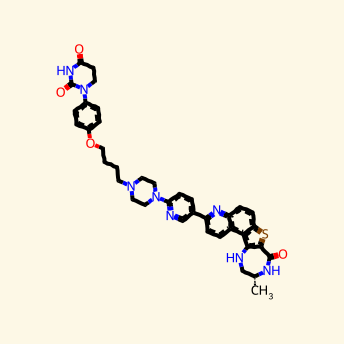 C[C@@H]1CNc2c(sc3ccc4nc(-c5ccc(N6CCN(CCCCOc7ccc(N8CCC(=O)NC8=O)cc7)CC6)nc5)ccc4c23)C(=O)N1